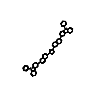 C1=CCCC(N2C3=C(CC(C4CCC5=C(CCC(C6CCC(C7=CC=C8C=C(C9=Cc%10c%11c(n(-c%12ccccc%12)c%10CC9)C=CCC%11)C=CC8C7)S6)=C5)C4)C=C3)C3CCC=CC32)=C1